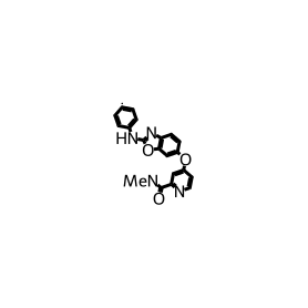 CNC(=O)c1cc(Oc2ccc3nc(Nc4cc[c]cc4)oc3c2)ccn1